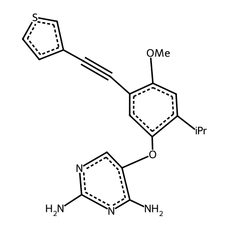 COc1cc(C(C)C)c(Oc2cnc(N)nc2N)cc1C#Cc1ccsc1